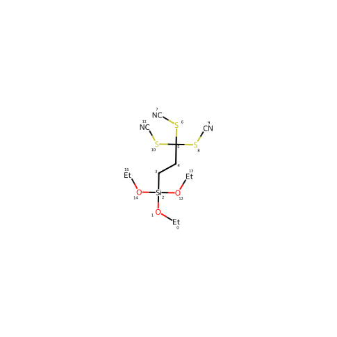 CCO[Si](CCC(SC#N)(SC#N)SC#N)(OCC)OCC